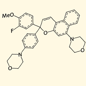 COc1ccc(C2(c3ccc(N4CCOCC4)cc3)C=Cc3c(cc(N4CCOCC4)c4ccccc34)O2)cc1F